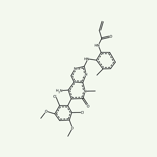 C=CC(=O)Nc1cccc(C)c1Nc1ncc2c(N)c(-c3c(Cl)c(OC)cc(OC)c3Cl)c(=O)n(C)c2n1